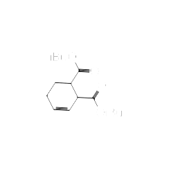 CC(C)COC(=O)C1C=CCCC1C(=O)OCC(C)C